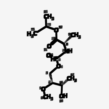 CO[C@H](CO[PH](=O)N[C@@H](C)C(=O)OC(C)C)[C@H](C)O